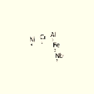 [Al].[Cr].[Fe].[Nb].[Ni]